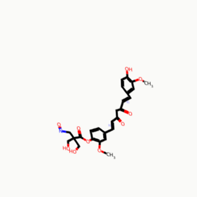 COc1cc(/C=C/C(=O)CC(=O)/C=C/c2ccc(OC(=O)C(CO)(CO)CN=O)c(OC)c2)ccc1O